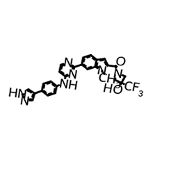 Cn1c(C(=O)N2CC(O)(C(F)(F)F)C2)cc2ccc(-c3nccc(Nc4ccc(-c5cn[nH]c5)cc4)n3)cc21